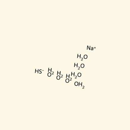 O.O.O.O.O.O.O.[Na+].[SH-]